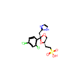 O=S(=O)(O)CC[C@@H]1CO[C@@](Cc2ncc[nH]2)(c2ccc(Cl)cc2Cl)O1